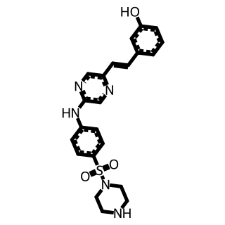 O=S(=O)(c1ccc(Nc2cnc(C=Cc3cccc(O)c3)cn2)cc1)N1CCNCC1